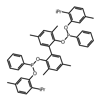 Cc1ccc(C(C)C)c(OP(Oc2c(C)cc(C)cc2-c2cc(C)cc(C)c2OP(Oc2cc(C)ccc2C(C)C)c2ccccc2)c2ccccc2)c1